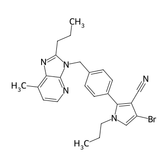 CCCc1nc2c(C)ccnc2n1Cc1ccc(-c2c(C#N)c(Br)cn2CCC)cc1